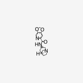 O=C(N[C@@H]1C[C@@H]2CCN(C2)C1)c1cc2c(cn1)OCO2